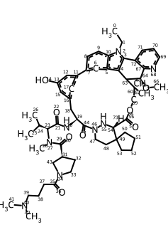 CCn1c2c3c4cc(ccc41)-c1cc(O)cc(c1)C[C@H](NC(=O)[C@H](C(C)C)N(C)C(=O)[C@H]1CCN(C(=O)CCCN(C)C)C1)C(=O)N1CCC4(CCCC4)[C@H](N1)C(=O)OCC(C)(C)C3[C@H](OC)c1ncccc1-2